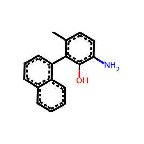 Cc1ccc(N)c(O)c1-c1cccc2ccccc12